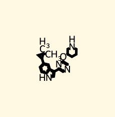 CC1(C)CC1c1ccc2[nH]cc(-c3cncc(OC4CCCNC4)n3)c2c1